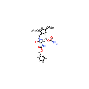 COc1ccc(CN2C(=O)C(NC(=O)OCc3ccccc3)[C@H]2COC(N)=O)c(OC)c1